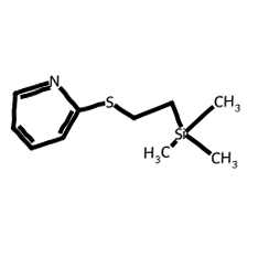 C[Si](C)(C)CCSc1ccccn1